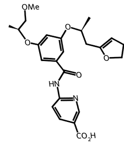 COC[C@H](C)Oc1cc(O[C@@H](C)CC2=CCCO2)cc(C(=O)Nc2ccc(C(=O)O)cn2)c1